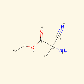 CCOC(=O)C(C)(N)C#N